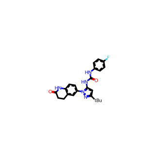 CC(C)(C)c1cc(NC(=O)Nc2ccc(F)cc2)n(-c2ccc3c(c2)CCC(=O)N3)n1